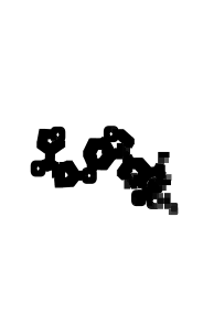 CS(=O)(=O)c1ncc(N2CCOc3ccc(OC4CCN(C(=O)C5CCOC5)C4)cc32)cc1C(F)F